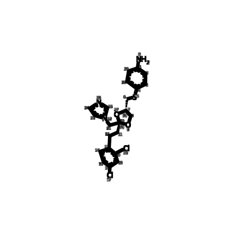 Nc1ccc(SC[C@@H]2CO[C@](CCc3ccc(Cl)cc3Cl)(Cn3ccnc3)O2)cc1